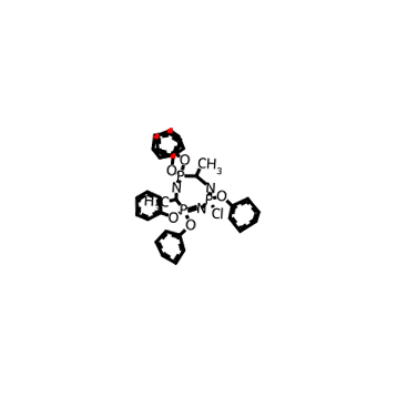 CC1N=P(Cl)(Oc2ccccc2)N=P(Oc2ccccc2)(Oc2ccccc2)C(C)N=P1(Oc1ccccc1)Oc1ccccc1